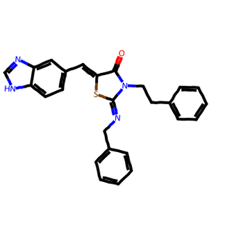 O=C1C(=Cc2ccc3[nH]cnc3c2)SC(=NCc2ccccc2)N1CCc1ccccc1